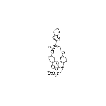 CCOC(=O)CN(Cc1ccc(OCCN(C)c2nc3ccccc3s2)cc1)C(=O)Oc1cc(Cl)ccc1Cl